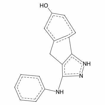 Oc1ccc2c(c1)Cc1c(Nc3ccccc3)n[nH]c1-2